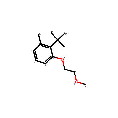 COCCOc1cccc(C)c1C(C)(C)C